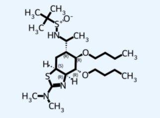 CCCCO[C@@H]1[C@H]2N=C(N(C)C)S[C@H]2C[C@H](C(C)N[S+]([O-])C(C)(C)C)[C@H]1OCCCC